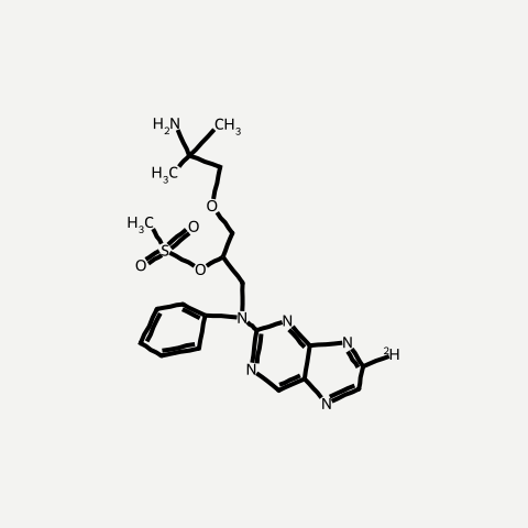 [2H]c1cnc2cnc(N(CC(COCC(C)(C)N)OS(C)(=O)=O)c3ccccc3)nc2n1